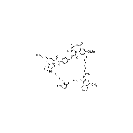 COc1cc2c(cc1OCCCCCC(=O)N1C[C@@H](CCl)c3c1cc(C)c1ccccc31)N(C(=O)OCc1ccc(NC(=O)[C@H](CCCCN)NC(=O)C3(C(=O)NCCCCCN4C(=O)C=CC4=O)CCC3)cc1)C(O)[C@@H]1CCCN1C2=O